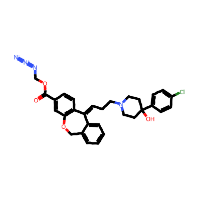 [N-]=[N+]=NCOC(=O)c1ccc2c(c1)OCc1ccccc1C2=CCCN1CCC(O)(c2ccc(Cl)cc2)CC1